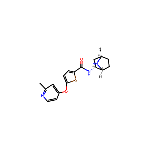 Cc1cc(Oc2ccc(C(=O)N[C@@H]3C[C@H]4CC[C@@H]3N4)s2)ccn1